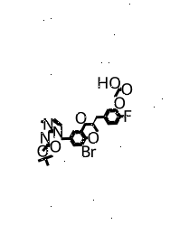 Cn1ccn(Cc2cc(Br)c3c(c2)C(=O)[C@@H](Cc2ccc(F)c(OCC(=O)O)c2)CO3)/c1=N\C(=O)OC(C)(C)C